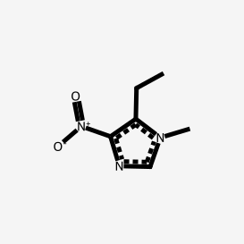 CCc1c([N+](=O)[O-])ncn1C